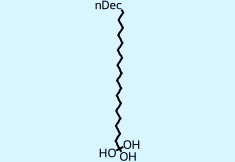 CCCCCCCCCCCCCCCCCCCCCCCCCCCCC(O)(O)O